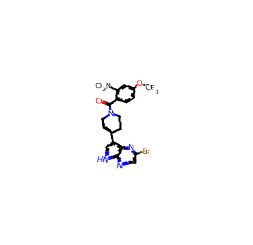 O=C(c1ccc(OC(F)(F)F)cc1[N+](=O)[O-])N1CC=C(c2c[nH]c3ncc(Br)nc23)CC1